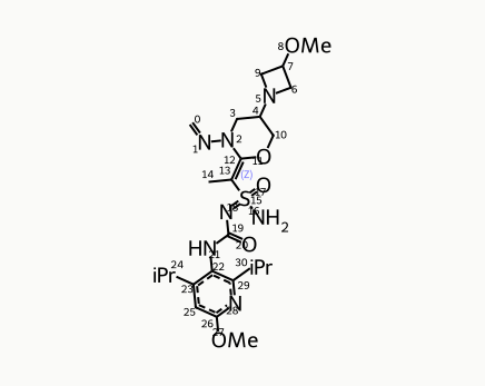 C=NN1CC(N2CC(OC)C2)CO/C1=C(/C)S(N)(=O)=NC(=O)Nc1c(C(C)C)cc(OC)nc1C(C)C